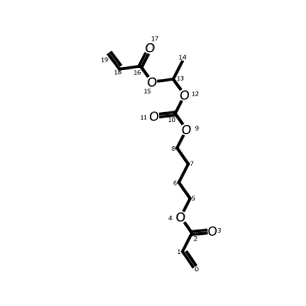 C=CC(=O)OCCCCOC(=O)OC(C)OC(=O)C=C